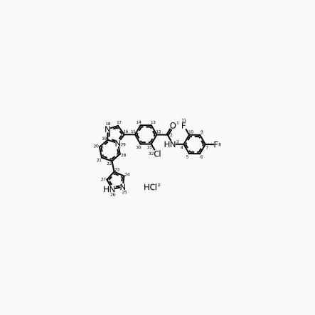 Cl.O=C(Nc1ccc(F)cc1F)c1ccc(-c2cnc3ccc(-c4cn[nH]c4)cn23)cc1Cl